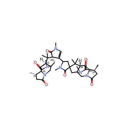 C[C@H]1CC(=O)N2CC34C[C@@]5(C(=O)N(C)C=C5C5CC6(CC78CN9C(=O)C[C@H](C)[C@@]9(C[C@H]7C6(C)C)C(=O)N8C)C(=O)N5C)C(C)(C)[C@@H]3C[C@]12C(=O)N4C